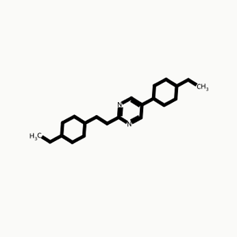 CCC1CCC(CCc2ncc(C3CCC(CC)CC3)cn2)CC1